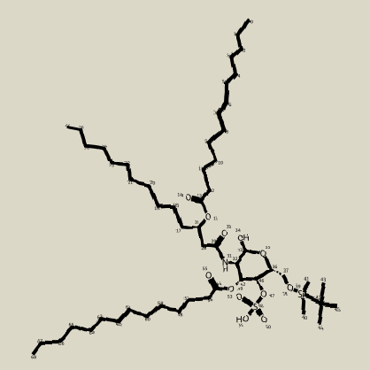 CCCCCCCCCCCCCC(=O)O[C@H](CCCCCCCCCCC)CC(=O)N[C@H]1C(O)O[C@H](CO[Si](C)(C)C(C)(C)C)[C@@H](OS(=O)(=O)O)[C@@H]1OC(=O)CCCCCCCCCCCCC